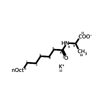 CCCCCCCCCCCCCC(=O)NC(C)C(=O)[O-].[K+]